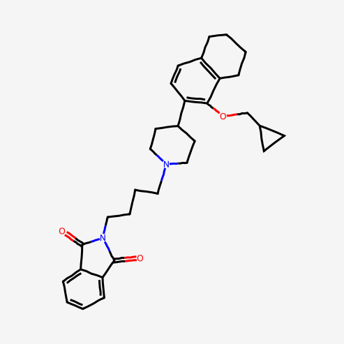 O=C1c2ccccc2C(=O)N1CCCCN1CCC(c2ccc3c(c2OCC2CC2)CCCC3)CC1